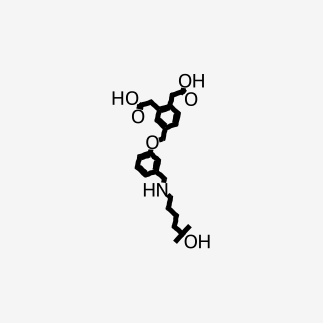 CC(C)(O)CCCCNCc1cccc(OCc2ccc(CC(=O)O)c(CC(=O)O)c2)c1